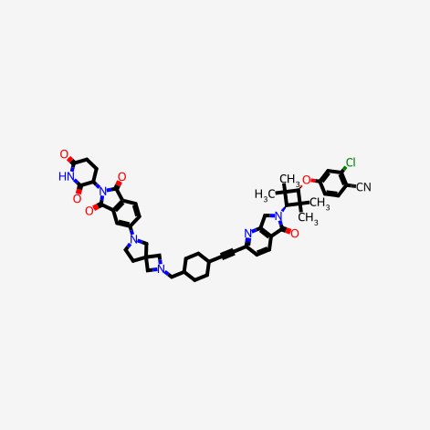 CC1(C)[C@H](Oc2ccc(C#N)c(Cl)c2)C(C)(C)[C@H]1N1Cc2nc(C#CC3CCC(CN4CC5(CCN(c6ccc7c(c6)C(=O)N(C6CCC(=O)NC6=O)C7=O)C5)C4)CC3)ccc2C1=O